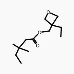 CCC(C)(C)CC(=O)OCC1(CC)COC1